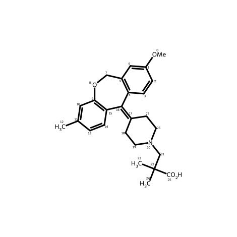 COc1ccc2c(c1)COc1cc(C)ccc1C2=C1CCN(CC(C)(C)C(=O)O)CC1